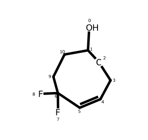 OC1CC/C=C\C(F)(F)CC1